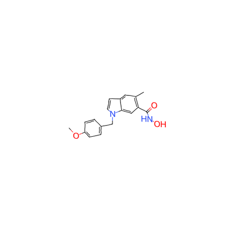 COc1ccc(Cn2ccc3cc(C)c(C(=O)NO)cc32)cc1